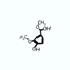 COc1cc(C(O)OC)ccc1O